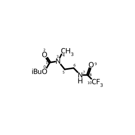 CC(C)COC(=O)N(C)CCNC(=O)C(F)(F)F